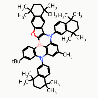 Cc1cc2c3c(c1)N(c1ccc4c(c1)C(C)(C)CCC4(C)C)c1c(oc4cc5c(cc14)C(C)(C)CCC5(C)C)B3c1ccc(C(C)(C)C)cc1N2c1ccc2c(c1)C(C)(C)CCC2(C)C